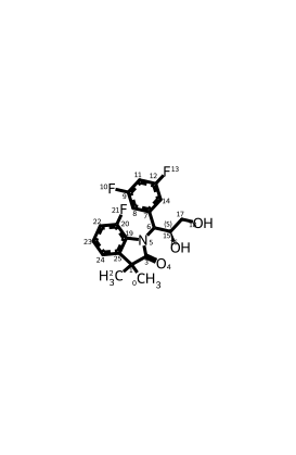 CC1(C)C(=O)N(C(c2cc(F)cc(F)c2)[C@H](O)CO)c2c(F)cccc21